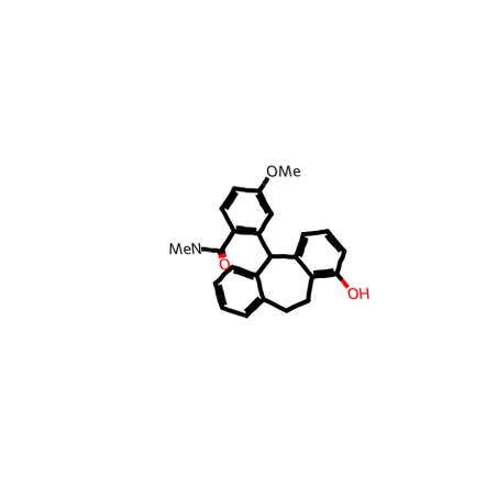 CNC(=O)c1ccc(OC)cc1C1c2ccccc2CCc2c(O)cccc21